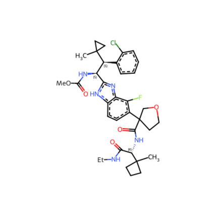 CCNC(=O)[C@H](NC(=O)C1(c2ccc3[nH]c([C@@H](NC(=O)OC)[C@H](c4ccccc4Cl)C4(C)CC4)nc3c2F)CCOC1)C1(C)CCC1